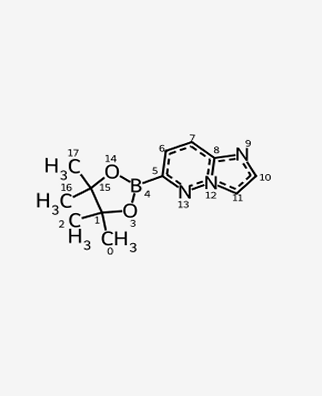 CC1(C)OB(c2ccc3nccn3n2)OC1(C)C